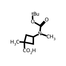 CN(C(=O)OC(C)(C)C)C1CC(C)(C(=O)O)C1